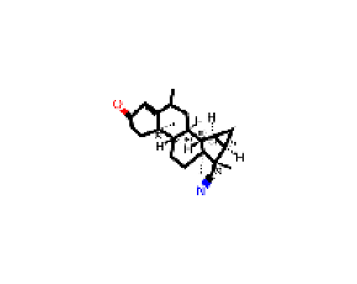 CC1C[C@H]2[C@@H]3[C@H]4C[C@H]4[C@](C)(C#N)[C@@]3(C)CC[C@@H]2[C@@]2(C)CCC(=O)C=C12